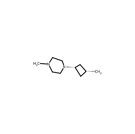 CN1CCN([C@H]2C[C@@H](C)C2)CC1